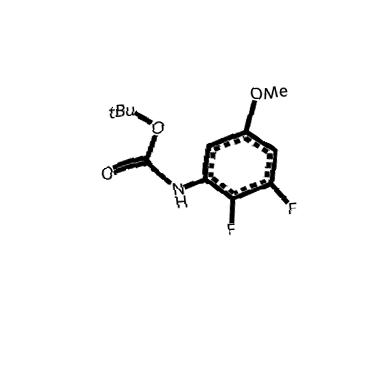 COc1cc(F)c(F)c(NC(=O)OC(C)(C)C)c1